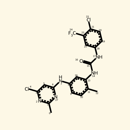 Cc1nc(Cl)cc(Nc2ccc(C)c(NC(=O)Nc3ccc(Cl)c(C(F)(F)F)c3)c2)n1